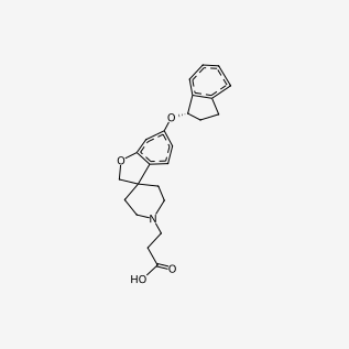 O=C(O)CCN1CCC2(CC1)COc1cc(O[C@H]3CCc4ccccc43)ccc12